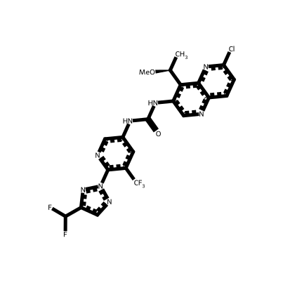 CO[C@@H](C)c1c(NC(=O)Nc2cnc(-n3ncc(C(F)F)n3)c(C(F)(F)F)c2)cnc2ccc(Cl)nc12